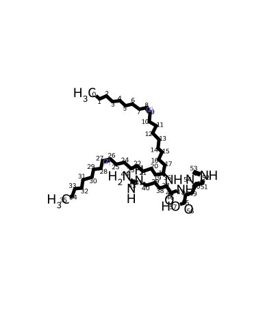 CCCCCCCC/C=C\CCCCCCCCC(CCCCCCC/C=C\CCCCCCCC)NC(CCCNC(=N)N)C(=O)NC(Cc1c[nH]cn1)C(=O)O